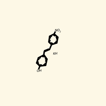 O=[N+]([O-])c1ccc(C=Cc2ccc(O)cc2)cc1.[KH]